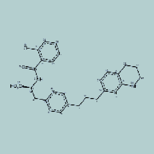 O=C(N[C@@H](Cc1ccc(CCCc2ccc3c(n2)NCCC3)cn1)C(=O)O)c1ccccc1Cl